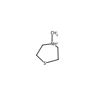 [CH2-][NH+]1CCSCC1